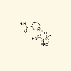 C[C@]1(CO)O[C@@H]([n+]2cccc(C(N)=O)c2)[C@H](O)[C@@H]1O